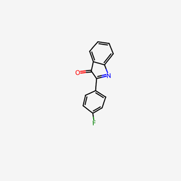 O=C1C(c2ccc(F)cc2)=Nc2ccccc21